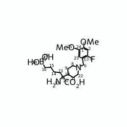 COc1cc(F)c(CN2CCC(C(N)(CCCCB(O)O)C(=O)O)CC2)cc1OC